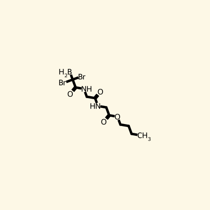 BC(Br)(Br)C(=O)NCC(=O)NCC(=O)OCCCC